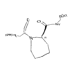 CCCCCCCCNC(=O)[C@H]1CCCCN1C(=O)CCCCCCC